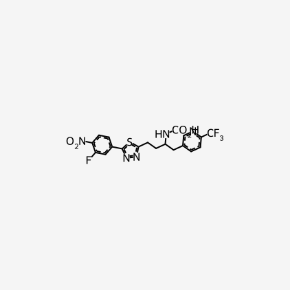 O=C(O)NC(CCc1nnc(-c2ccc([N+](=O)[O-])c(F)c2)s1)Cc1ccc(C(F)(F)F)nc1